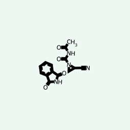 CC(=O)NC(=O)N1CC1C#N.O=C1NC(=O)c2ccccc21